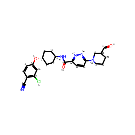 N#Cc1ccc(O[C@H]2CC[C@H](NC(=O)c3ccc(N4CCCC(C=O)C4)nn3)CC2)cc1Cl